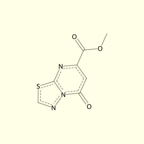 COC(=O)c1cc(=O)n2ncsc2n1